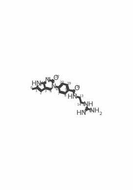 Cc1cc2cn(-c3ccc(C(=O)NCCNC(=N)N)cc3)c(=O)nc2[nH]1